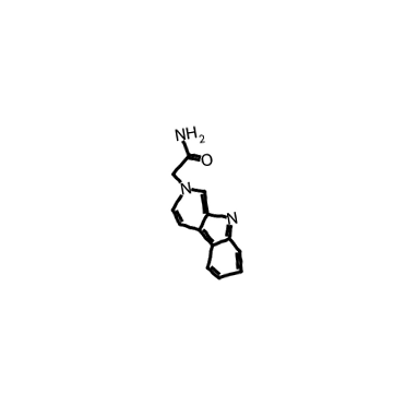 NC(=O)Cn1ccc2c3ccccc3nc-2c1